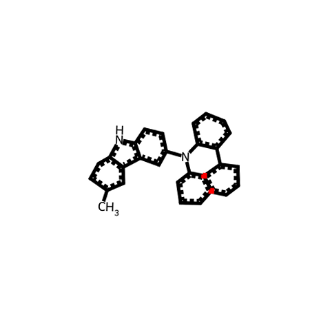 Cc1ccc2[nH]c3ccc(N(c4ccccc4)c4ccccc4-c4ccccc4)cc3c2c1